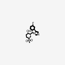 CS(=O)(=O)N1CC[C@H](O)[C@@H]([C@H]2c3ccc(F)cc3-c3cncn32)C1